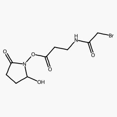 O=C(CBr)NCCC(=O)ON1C(=O)CCC1O